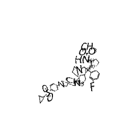 COC(=O)N[C@H]1CCC[C@@H]1[C@](CN1CCC1)(c1cccc(F)c1)C1CCN(CC2(C)CN(c3ccc(S(=O)(=O)C4CC4)cc3)C2)CC1